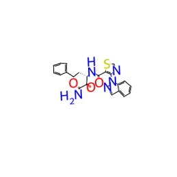 NC(=O)C(=O)[C@H](CCc1ccccc1)NC(=O)c1scnc1-n1ncc2ccccc21